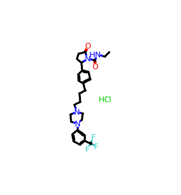 CCNC(=O)N1C(=O)CCC1c1ccc(CCCCN2CCN(c3cccc(C(F)(F)F)c3)CC2)cc1.Cl